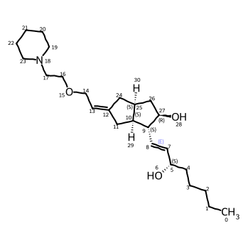 CCCCC[C@H](O)/C=C/[C@@H]1[C@H]2CC(=CCOCCN3CCCCC3)C[C@H]2C[C@H]1O